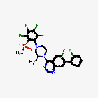 C[C@H]1CN(c2c(F)c(F)c(F)c(F)c2S(C)(=O)=O)CCN1c1ncnc2cc(-c3ccccc3F)c(Cl)cc12